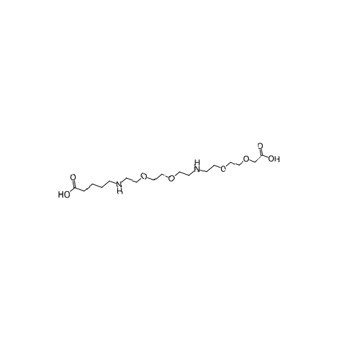 O=C(O)CCCCNCCOCCOCCNCCOCCOCC(=O)O